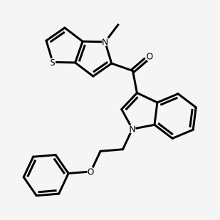 Cn1c(C(=O)c2cn(CCOc3ccccc3)c3ccccc23)cc2sccc21